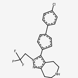 FC(F)(F)Cn1nc2c(c1-c1ccc(-c3ccc(Cl)cc3)cc1)CCNCC2